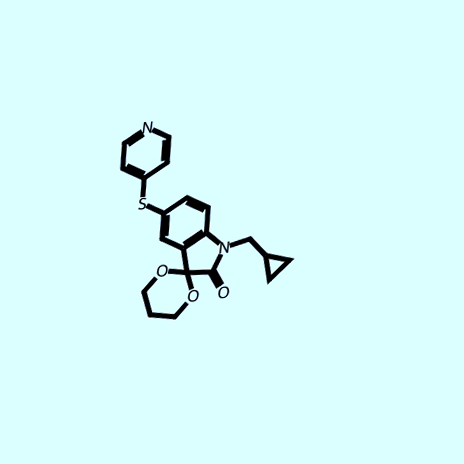 O=C1N(CC2CC2)c2ccc(Sc3ccncc3)cc2C12OCCCO2